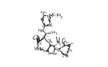 C/C(Nc1cc(C)n(C)n1)=C1/C(=O)Nc2cnc(-c3cnccc3C)cc21